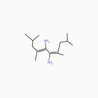 CC(CC(C)C)=C(N)C(N)=C(C)CC(C)C